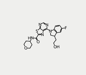 O=C(NC1CCOCC1)c1nc2c(N3CC(CCO)c4cc(F)ccc43)ncnc2s1